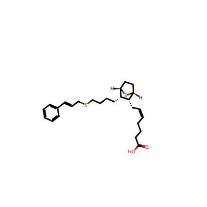 O=C(O)CCC/C=C\C[C@@H]1[C@H](CCCCSCC=Cc2ccccc2)[C@@H]2CC[C@H]1S2